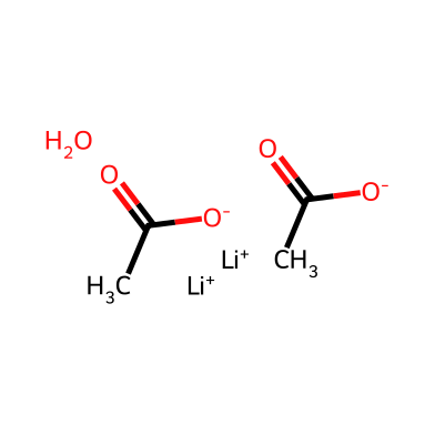 CC(=O)[O-].CC(=O)[O-].O.[Li+].[Li+]